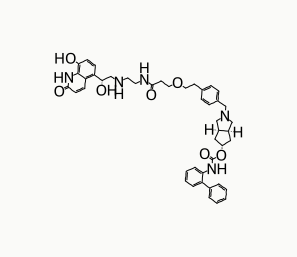 O=C(CCOCCc1ccc(CN2C[C@H]3C[C@H](OC(=O)Nc4ccccc4-c4ccccc4)C[C@H]3C2)cc1)NCCNC[C@H](O)c1ccc(O)c2[nH]c(=O)ccc12